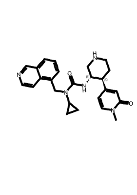 Cn1ccc([C@@H]2CCNC[C@H]2NC(=O)N(Cc2cccc3cnccc23)C2CC2)cc1=O